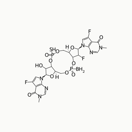 BP1(=O)OC[C@H]2O[C@@H](n3cc(F)c4c(=O)n(C)cnc43)C(O)C2OP(=O)(S)OC[C@H]2O[C@@H](n3cc(F)c4c(=O)n(C)cnc43)C(F)C2O1